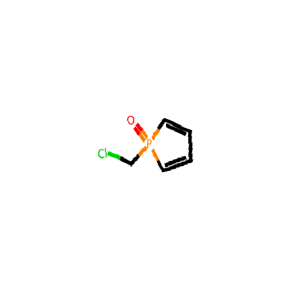 O=P1(CCl)C=CC=C1